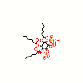 CCCCCC(=O)O[C@@H]1[C@@H](OC(=O)CCCCC)[C@H](OP(=O)(O)O)[C@@H](O)[C@@H](OP(=O)(O)O)[C@H]1OC(=O)CCCCC